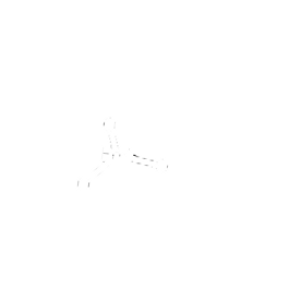 [O]=[Fe-4](=[O])=[O]